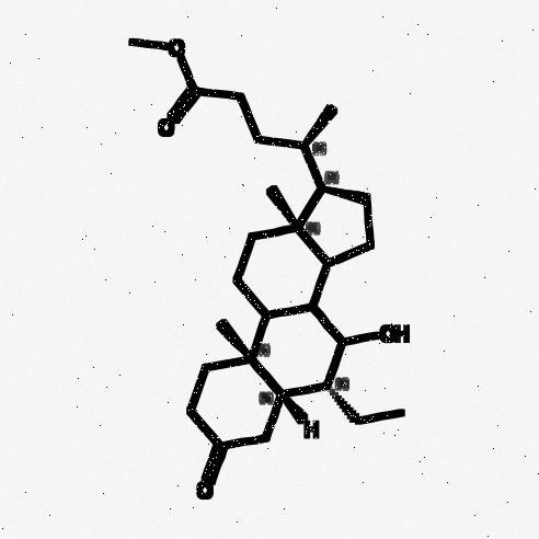 CC[C@H]1C(O)C2C3CC[C@H]([C@H](C)CCC(=O)OC)[C@@]3(C)CCC2[C@@]2(C)CCC(=O)C[C@@H]12